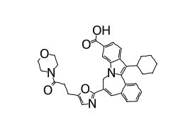 O=C(O)c1ccc2c(C3CCCCC3)c3n(c2c1)CC(c1ncc(CCC(=O)N2CCOCC2)o1)=Cc1ccccc1-3